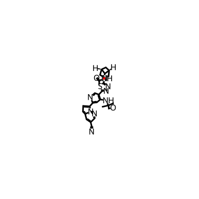 CC(=O)NC1[C@@H]2C[C@H]1CN(c1nnc(-c3cnc(-c4ccc5cc(C#N)cnn45)cc3NC3(C)COC3)s1)C2